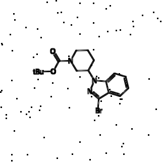 CC(C)(C)OC(=O)N1CCCC(n2nc(Br)c3ccccc32)C1